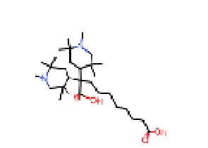 CN1CC(C)(C)C(C(CCCCCCCC(=O)O)(C(=O)O)C2CC(C)(C)N(C)CC2(C)C)CC1(C)C